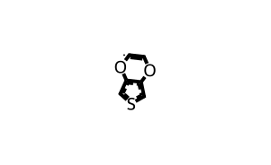 [C]1=COc2cscc2O1